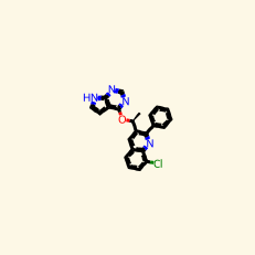 C[C@H](Oc1ncnc2[nH]ccc12)c1cc2cccc(Cl)c2nc1-c1ccccc1